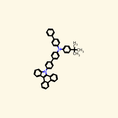 CC(C)(C)c1ccc(N(c2ccc(-c3ccccc3)cc2)c2ccc(-c3ccc(-n4c5ccccc5c5c6ccccc6c6ccccc6c54)cc3)cc2)cc1